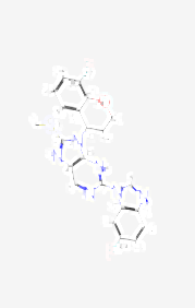 CSc1nc2cnc(-n3cnc4ccc(F)cc43)nc2n1C1CCOc2c(F)cccc21